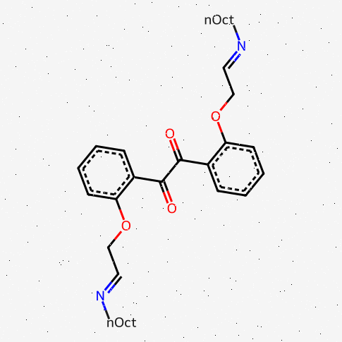 CCCCCCCCN=CCOc1ccccc1C(=O)C(=O)c1ccccc1OCC=NCCCCCCCC